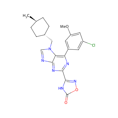 COc1cc(Cl)cc(-c2nc(-c3noc(=O)[nH]3)nc3ncn(C[C@H]4CC[C@H](C)CC4)c23)c1